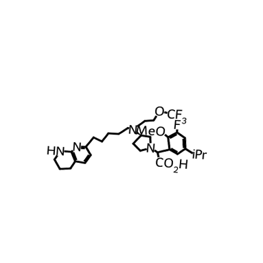 COc1c(F)cc(C(C)C)cc1C(C(=O)O)N1CC[C@@H](N(CCCCCc2ccc3c(n2)NCCC3)CCOC(F)(F)F)C1